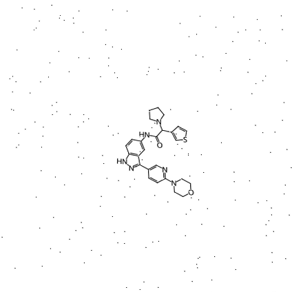 O=C(Nc1ccc2[nH]nc(-c3ccc(N4CCOCC4)nc3)c2c1)C(c1ccsc1)N1CCCC1